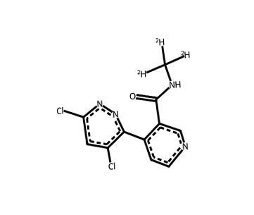 [2H]C([2H])([2H])NC(=O)c1cnccc1-c1nnc(Cl)cc1Cl